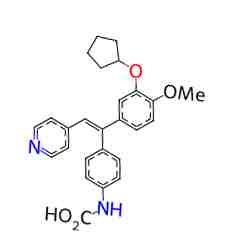 COc1ccc(C(=Cc2ccncc2)c2ccc(NC(=O)O)cc2)cc1OC1CCCC1